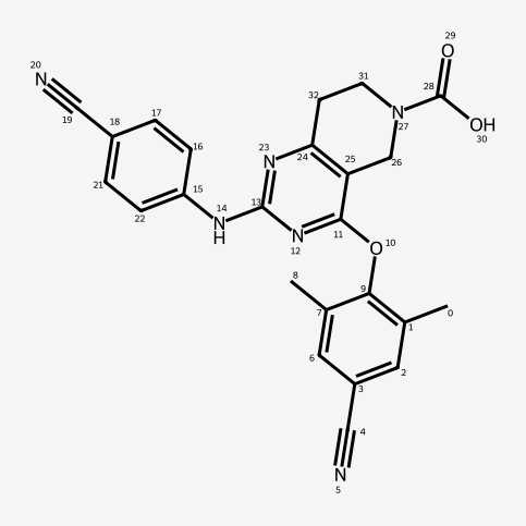 Cc1cc(C#N)cc(C)c1Oc1nc(Nc2ccc(C#N)cc2)nc2c1CN(C(=O)O)CC2